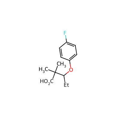 CCC(Oc1ccc(F)cc1)C(C)(C)C(=O)O